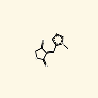 Cn1cccc1/C=C1\C(=O)COC1=O